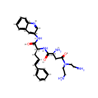 NCCN(CCN)C(=O)C[C@H](N)C(=O)N[C@@H](C/C=C/c1ccccc1)C(=O)Nc1cnc2ccccc2c1